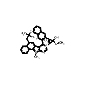 COC1(O)C2(C)c3cc4ccccc4cc3-c3c4c5cc(CC(C)(C)C)c6ccccc6c5n(C)c4nc[n+]3C12C